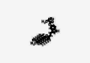 CCCCN(C)C(=O)Oc1ccc2[nH]cc(CCC(=O)OC(C)(C)C(C)(C)C(C)(C)C(C)(C)C(C)(C)C(C)(C)C)c2c1